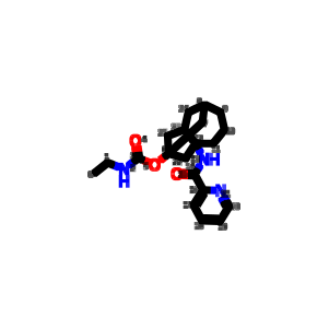 CCNC(=O)OC12CC3CCCC(NC(=O)c4ccccn4)(C1)C(C3)C2